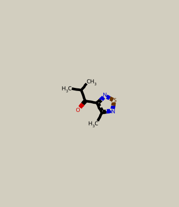 Cc1nsnc1C(=O)C(C)C